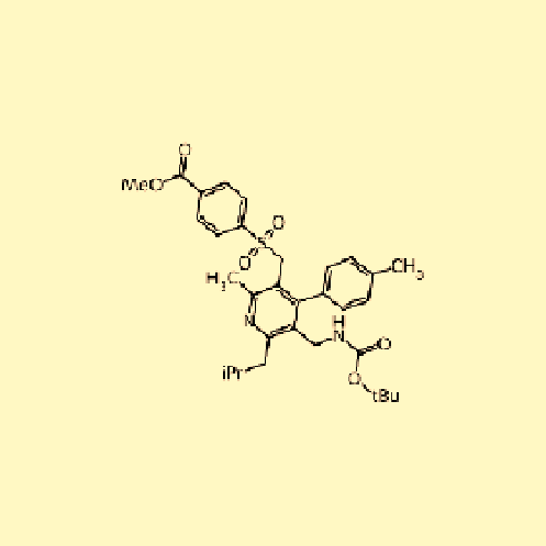 COC(=O)c1ccc(S(=O)(=O)Cc2c(C)nc(CC(C)C)c(CNC(=O)OC(C)(C)C)c2-c2ccc(C)cc2)cc1